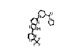 O=C(C1CCCN(c2ccc3nc(-c4ccnc(C(F)(F)F)n4)[nH]c3n2)C1)N1CCCC1